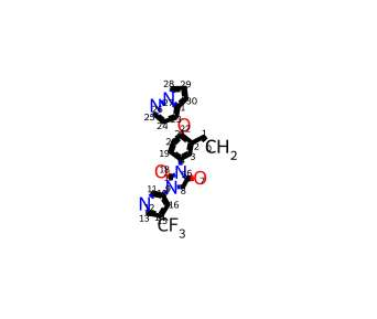 C=Cc1cc(N2C(=O)CN(c3cncc(C(F)(F)F)c3)C2=O)ccc1Oc1ccnn2cccc12